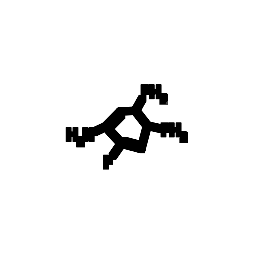 NC1=CC(P)C(P)C=C1F